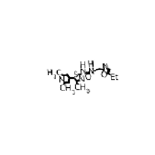 CCc1cnc(CCNC(=O)Nc2nc(C)c(-c3cc(C)nc(C)c3)s2)o1